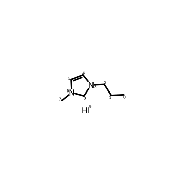 CCCN1C=CN(C)C1.I